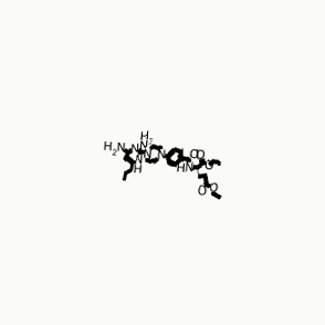 CCCC1=CC(N)=N[C@](N)(N2CCN(c3ccc(C(=O)N[C@@H](CCC(=O)OCC)C(=O)OCC)cc3)CC2)N1